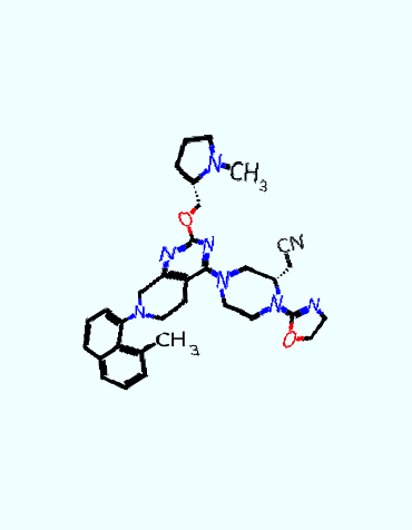 Cc1cccc2cccc(N3CCc4c(nc(OC[C@@H]5CCCN5C)nc4N4CCN(C5=NCCO5)[C@@H](CC#N)C4)C3)c12